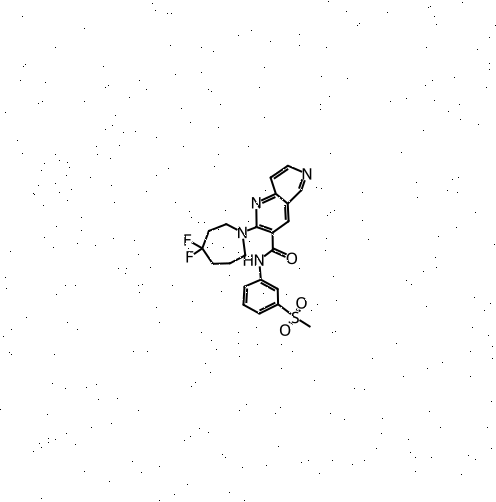 CS(=O)(=O)c1cccc(NC(=O)c2cc3cnccc3nc2N2CCCC(F)(F)CC2)c1